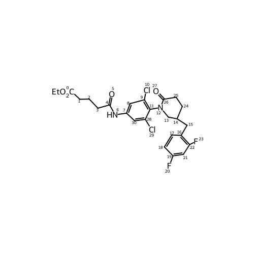 CCOC(=O)CCCC(=O)Nc1cc(Cl)c(N2CC(Cc3ccc(F)cc3F)CCC2=O)c(Cl)c1